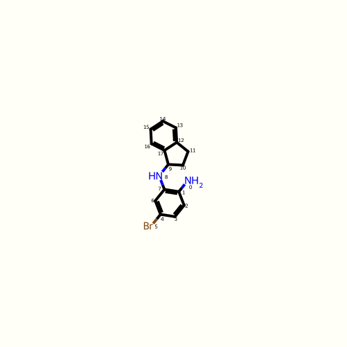 Nc1ccc(Br)cc1NC1CCc2ccccc21